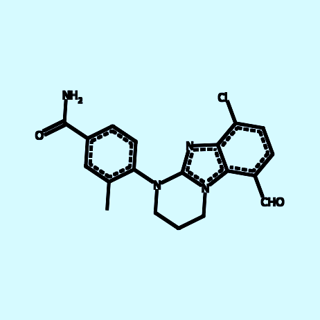 Cc1cc(C(N)=O)ccc1N1CCCn2c1nc1c(Cl)ccc(C=O)c12